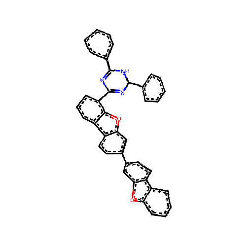 c1ccc(C2=NC(c3cccc4c3oc3cc(-c5ccc6c(c5)oc5ccccc56)ccc34)=NC(c3ccccc3)N2)cc1